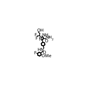 COc1ccc(F)cc1C(=O)NCc1ccc(-c2nn(C(CCO)C(F)F)c(N)c2C(N)=O)cc1